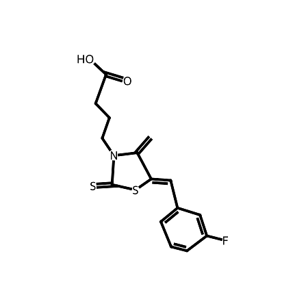 C=c1/c(=C/c2cccc(F)c2)sc(=S)n1CCCC(=O)O